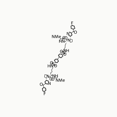 CN[C@@H](C)C(=O)NC(CCCCNS(=O)(=O)c1ccc(-c2ccc(S(=O)(=O)NCCCC[C@H](NC(=O)[C@H](C)NC)C(=O)N3CCC[C@H]3c3cncc(C(=O)c4ccc(F)cc4)c3)cc2)cc1)C(=O)N1CCC[C@H]1c1cncc(C(=O)c2ccc(F)cc2)c1